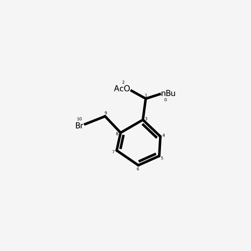 CCCCC(OC(C)=O)c1ccccc1CBr